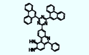 N=C1C=Cc2c(-c3ccccc3)nc3cc(-c4nc(-c5cc6ccccc6c6ccccc56)nc(-c5cc6ccccc6c6ccccc56)n4)ccc3c2C1=N